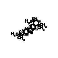 CC(C)(C)Cc1ccc2c(c1)sc1cc3c(cc12)C(C)(C)CCC3(C)C